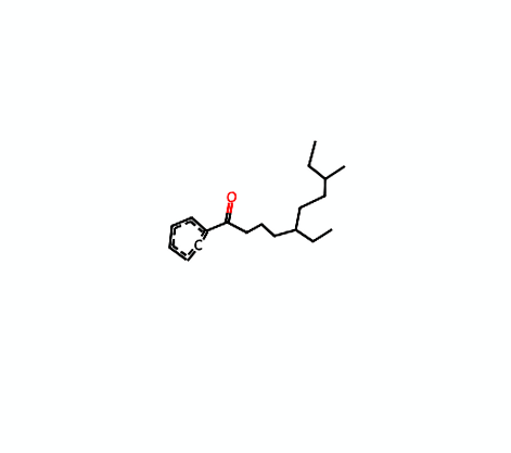 CCC(C)CCC(CC)CCCC(=O)c1ccccc1